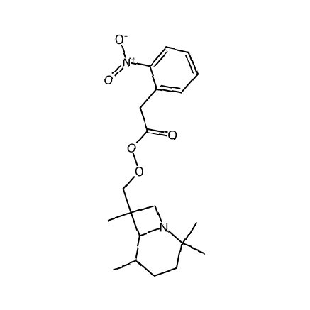 CC1CCC(C)(C)N2CC(C)(COOC(=O)Cc3ccccc3[N+](=O)[O-])C12